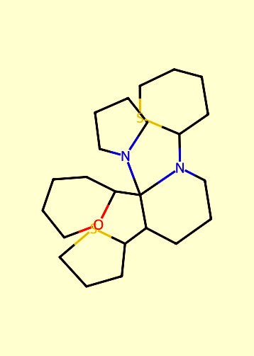 C1CCC(C2(N3CCCC3)C(C3CCCS3)CCCN2C2CCCCS2)OC1